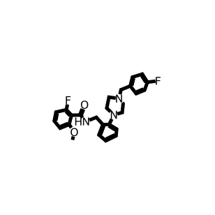 COc1cccc(F)c1C(=O)NCc1ccccc1N1CCN(Cc2ccc(F)cc2)CC1